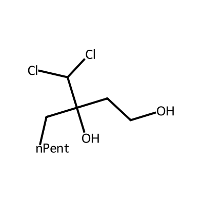 CCCCCCC(O)(CCO)C(Cl)Cl